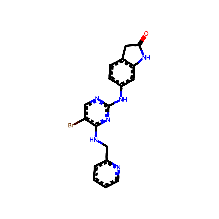 O=C1Cc2ccc(Nc3ncc(Br)c(NCc4ccccn4)n3)cc2N1